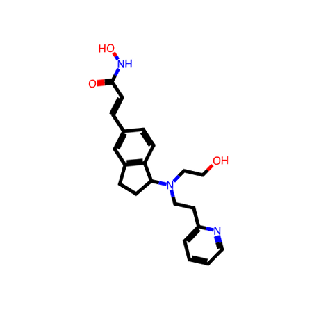 O=C(C=Cc1ccc2c(c1)CCC2N(CCO)CCc1ccccn1)NO